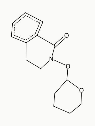 O=C1c2ccccc2CCN1OC1CCCCO1